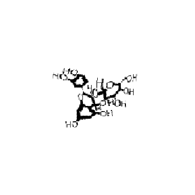 OC[C@H]1O[C@H]2O[C@@H]3[C@@H](c4ccc(O)c(O)c4)Oc4cc(O)cc(O)c4[C@@H]3O[C@@H]2[C@@H](O)[C@@H]1O